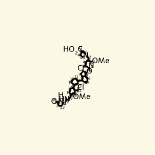 COc1nc(O[C@H]2CCc3c(-c4cccc(-c5ccc(CNC[C@@H]6CCC(=O)N6)c(OC)c5F)c4Cl)cccc32)c(Cl)cc1CN1CC[C@@H](C(=O)O)C1